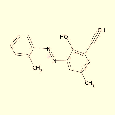 C#Cc1cc(C)cc(/N=N/c2ccccc2C)c1O